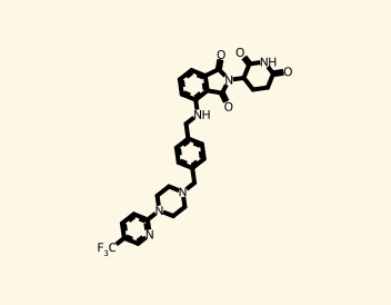 O=C1CCC(N2C(=O)c3cccc(NCc4ccc(CN5CCN(c6ccc(C(F)(F)F)cn6)CC5)cc4)c3C2=O)C(=O)N1